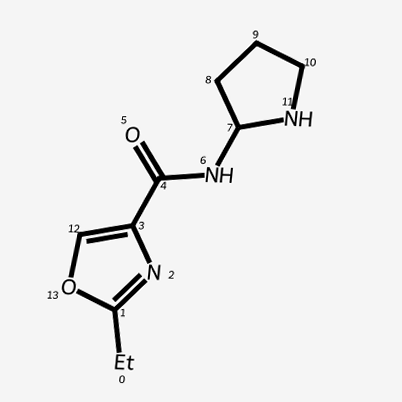 CCc1nc(C(=O)NC2CCCN2)co1